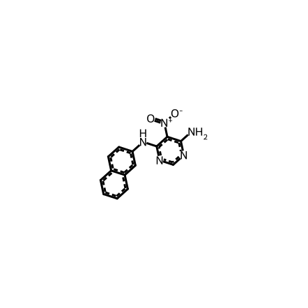 Nc1ncnc(Nc2ccc3ccccc3c2)c1[N+](=O)[O-]